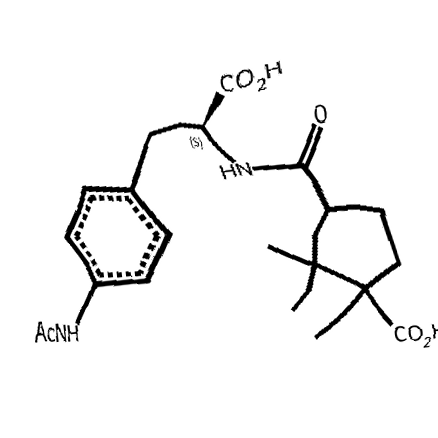 CC(=O)Nc1ccc(C[C@H](NC(=O)C2CCC(C)(C(=O)O)C2(C)C)C(=O)O)cc1